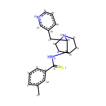 Cc1cccc(C(=S)NC2C3CCN(CC3)C2Cc2cccnc2)c1